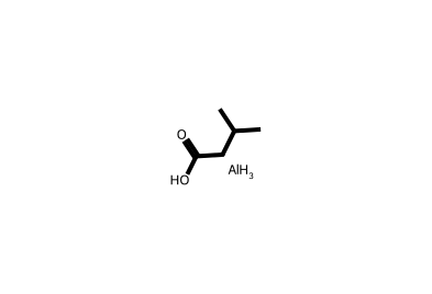 CC(C)CC(=O)O.[AlH3]